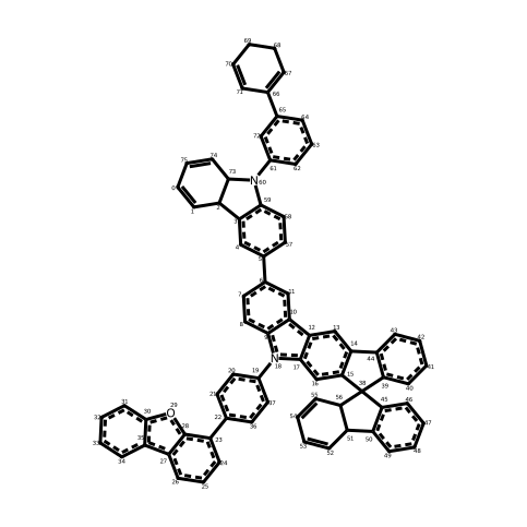 C1=CC2c3cc(-c4ccc5c(c4)c4cc6c(cc4n5-c4ccc(-c5cccc7c5oc5ccccc57)cc4)C4(c5ccccc5-6)c5ccccc5C5C=CC=CC54)ccc3N(c3cccc(C4=CCCC=C4)c3)C2C=C1